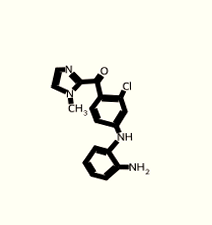 Cn1ccnc1C(=O)c1ccc(Nc2ccccc2N)cc1Cl